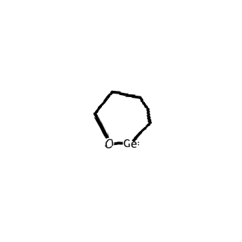 C1C[CH2][Ge][O]C1